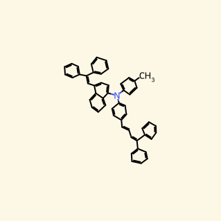 Cc1ccc(N(c2ccc(/C=C/C=C(c3ccccc3)c3ccccc3)cc2)c2ccc(C=C(c3ccccc3)c3ccccc3)c3ccccc23)cc1